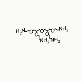 NCCOCC(COCC(COCCN)OCCN)OCCN